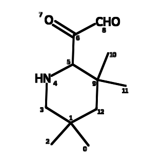 CC1(C)CNC(C(=O)C=O)C(C)(C)C1